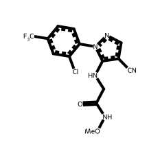 CONC(=O)CNc1c(C#N)cnn1-c1ccc(C(F)(F)F)cc1Cl